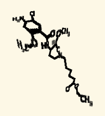 CCOC(=O)CCCCCN1CCC(NC(=O)c2cc(Cl)c(N)cc2OC)[C@@H](OC)C1